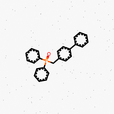 O=P(Cc1ccc(-c2ccccc2)cc1)(c1ccccc1)c1ccccc1